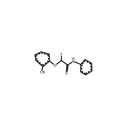 N#Cc1ccccc1OC(F)C(=O)Nc1ccccc1